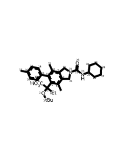 CCC(OC(C)(C)C)(C(=O)O)c1c(C)c2c(c(C)c1-c1ccc(C)cc1)CN(C(=O)NC1CCCCC1)C2